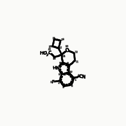 N#Cc1ccc(F)c2[nH]c3c(c12)CCOC3(CC(=O)O)C1CCC1